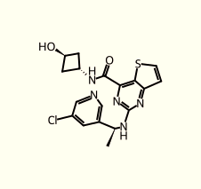 C[C@H](Nc1nc(C(=O)N[C@H]2C[C@H](O)C2)c2sccc2n1)c1cncc(Cl)c1